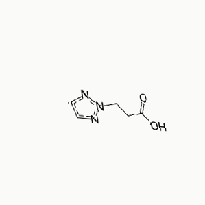 O=C(O)CCn1n[c]cn1